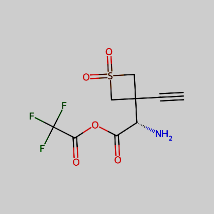 C#CC1([C@H](N)C(=O)OC(=O)C(F)(F)F)CS(=O)(=O)C1